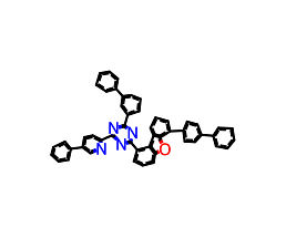 c1ccc(-c2ccc(-c3cccc4c3oc3cccc(-c5nc(-c6cccc(-c7ccccc7)c6)nc(-c6ccc(-c7ccccc7)cn6)n5)c34)cc2)cc1